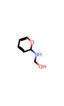 OCNC1C=CC=CO1